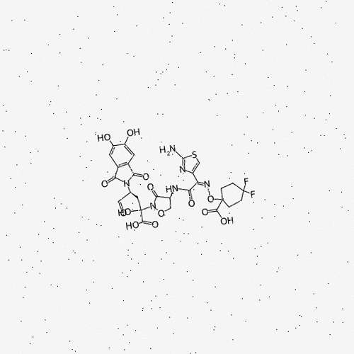 Nc1nc(/C(=N/OC2(C(=O)O)CCC(F)(F)CC2)C(=O)N[C@H]2CON(C(O)(C[C@@H](C=O)N3C(=O)c4cc(O)c(O)cc4C3=O)C(=O)O)C2=O)cs1